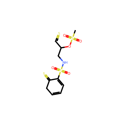 CS(=O)(=O)OC([C]=S)CNS(=O)(=O)C1=CC=CCC1=S